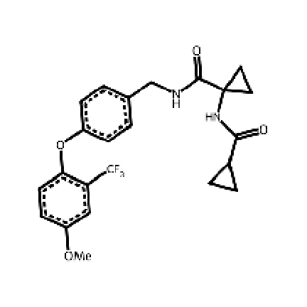 COc1ccc(Oc2ccc(CNC(=O)C3(NC(=O)C4CC4)CC3)cc2)c(C(F)(F)F)c1